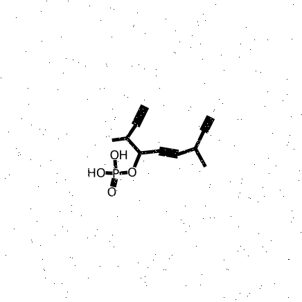 C#CC(C)C#CC(OP(=O)(O)O)C(C)C#C